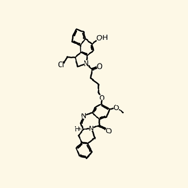 COc1cc2c(cc1OCCCC(=O)N1CC(CCl)c3c1cc(O)c1ccccc31)N=C[C@@H]1Cc3ccccc3CN1C2=O